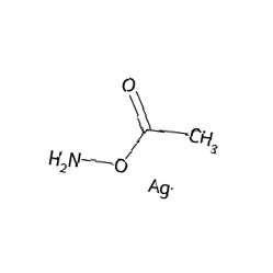 CC(=O)ON.[Ag]